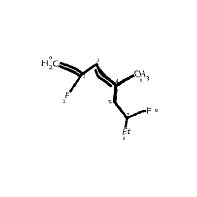 C=C(F)/C=C(/C)CC(F)CC